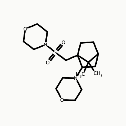 CC1(C)C2CCC1(CS(=O)(=O)N1CCOCC1)C(N1CCOCC1)C2